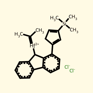 C[C](C)=[Hf+2][CH]1c2ccccc2-c2cccc(C3=CC([Si](C)(C)C)=CC3)c21.[Cl-].[Cl-]